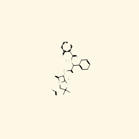 CC1(C)S[C@@H]2[C@H](NC(=O)C(NC(=O)c3csccc3=O)C3=CCC=CC3)C(=O)N2[C@H]1C(=O)O